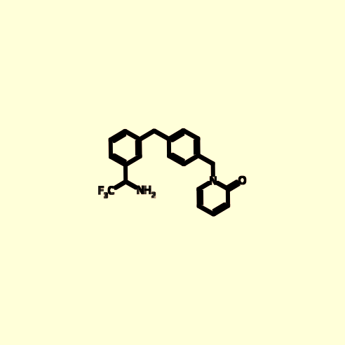 NC(c1cccc(Cc2ccc(Cn3ccccc3=O)cc2)c1)C(F)(F)F